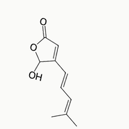 CC(C)=CC=CC1=CC(=O)OC1O